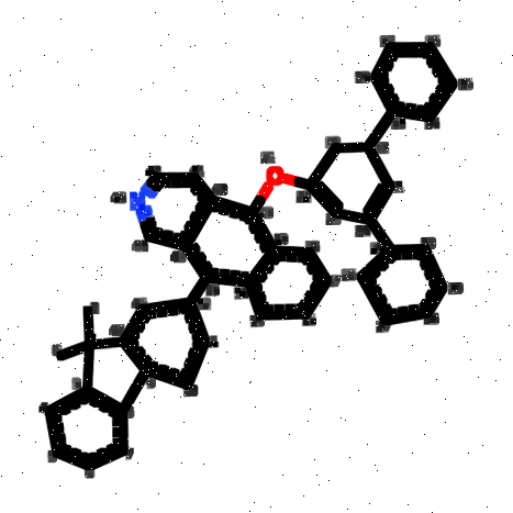 CC1(C)c2ccccc2-c2ccc(-c3c4ccccc4c(OC4=CC(c5ccccc5)=CC(c5ccccc5)C4)c4ccncc34)cc21